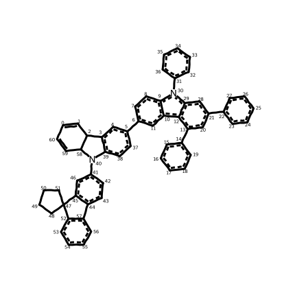 C1=CC2c3cc(-c4ccc5c(c4)c4c(-c6ccccc6)cc(-c6ccccc6)cc4n5-c4ccccc4)ccc3N(c3ccc4c(c3)C3(CCCC3)c3ccccc3-4)C2C=C1